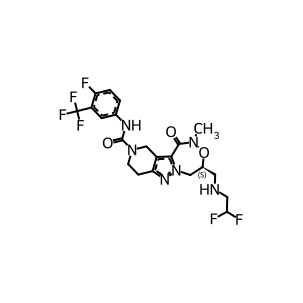 CN1O[C@@H](CNCC(F)F)Cn2nc3c(c2C1=O)CN(C(=O)Nc1ccc(F)c(C(F)(F)F)c1)CC3